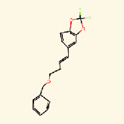 FC1(F)Oc2ccc(/C=C/CCOCc3ccccc3)cc2O1